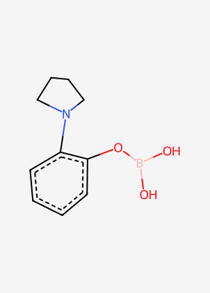 OB(O)Oc1ccccc1N1CCCC1